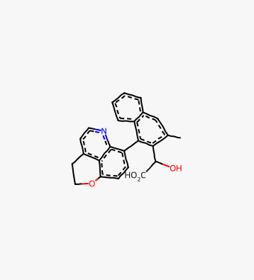 Cc1cc2ccccc2c(-c2ccc3c4c(ccnc24)CCO3)c1C(O)C(=O)O